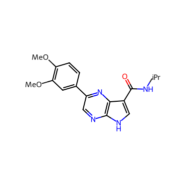 COc1ccc(-c2cnc3[nH]cc(C(=O)NC(C)C)c3n2)cc1OC